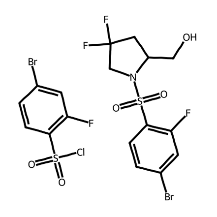 O=S(=O)(Cl)c1ccc(Br)cc1F.O=S(=O)(c1ccc(Br)cc1F)N1CC(F)(F)CC1CO